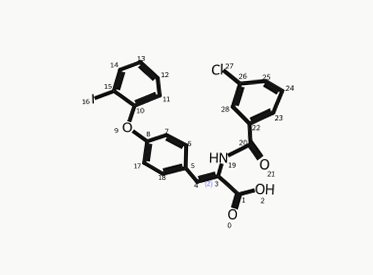 O=C(O)/C(=C/c1ccc(Oc2ccccc2I)cc1)NC(=O)c1cccc(Cl)c1